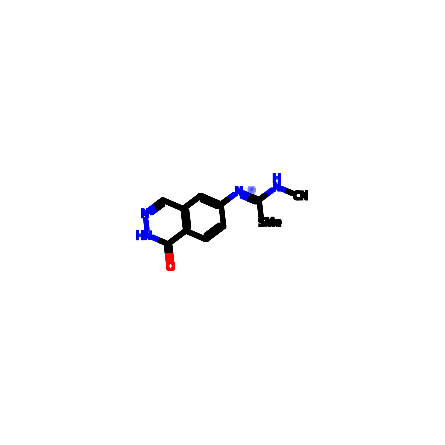 CS/C(=N\c1ccc2c(=O)[nH]ncc2c1)NC#N